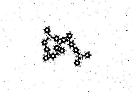 c1ccc(-c2nc(-c3ccccc3)nc(-c3ccc(-c4ccc(-n5c6ccccc6c6cc(-c7ccc(-c8nc(-c9ccccc9)nc(-c9cccc(-c%10ccc(-n%11c%12ccccc%12c%12ccc(-c%13nc%14ccccc%14s%13)cc%12%11)cc%10)c9)n8)cc7)c(-c7nc8ccccc8s7)cc65)cc4)cc3)n2)cc1